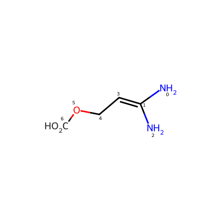 NC(N)=CCOC(=O)O